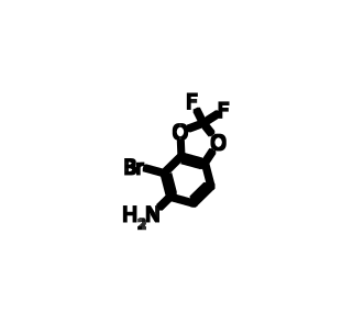 Nc1ccc2c(c1Br)OC(F)(F)O2